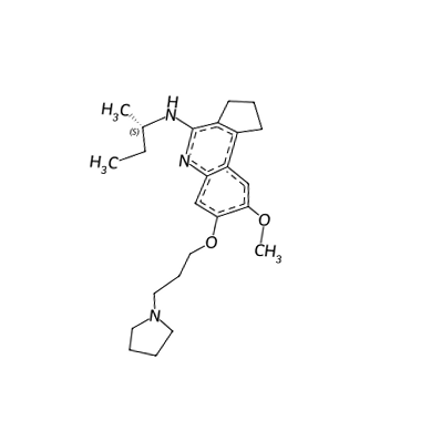 CC[C@H](C)Nc1nc2cc(OCCCN3CCCC3)c(OC)cc2c2c1CCC2